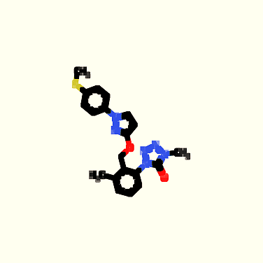 CSc1ccc(-n2ccc(OCc3c(C)cccc3-n3nnn(C)c3=O)n2)cc1